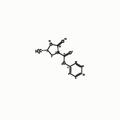 CC1CN(C(=O)Oc2ccccc2)C(=O)O1